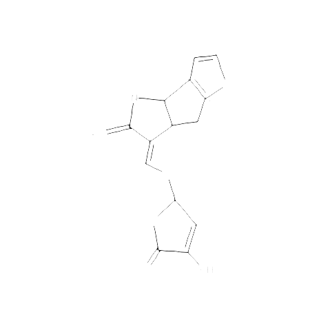 CC1=CC(O/C=C2/C(=O)NC3c4ccsc4CC23)OC1=O